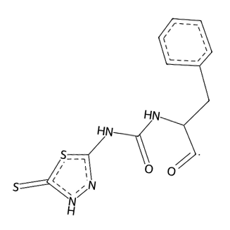 O=[C]C(Cc1ccccc1)NC(=O)Nc1n[nH]c(=S)s1